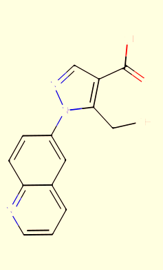 CCc1c(C(=O)O)cnn1-c1ccc2ncccc2c1